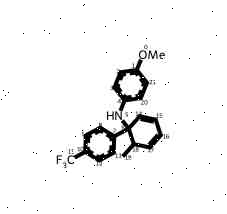 COc1ccc(NC2(c3ccc(C(F)(F)F)cc3)C=CC=CC2C)cc1